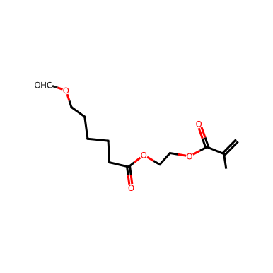 C=C(C)C(=O)OCCOC(=O)CCCCCOC=O